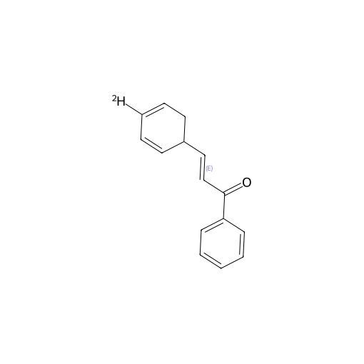 [2H]C1=CCC(/C=C/C(=O)c2ccccc2)C=C1